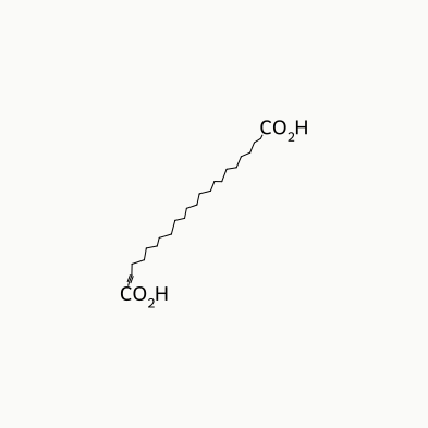 O=C(O)C#CCCCCCCCCCCCCCCCCCCCCC(=O)O